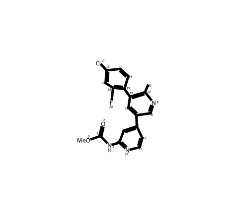 COC(=O)Nc1cc(-c2cnc(C)c(-c3ccc(Cl)cc3F)c2)ccn1